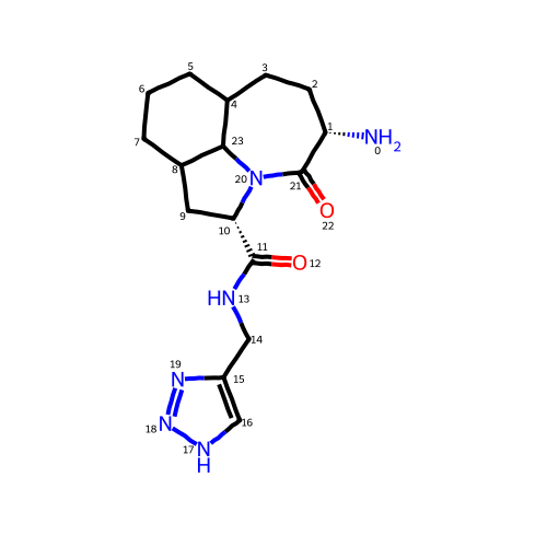 N[C@H]1CCC2CCCC3C[C@@H](C(=O)NCc4c[nH]nn4)N(C1=O)C23